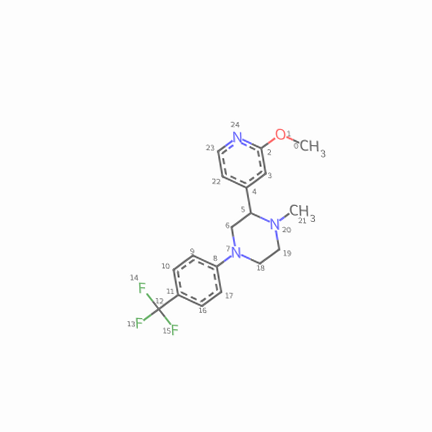 COc1cc(C2CN(c3ccc(C(F)(F)F)cc3)CCN2C)ccn1